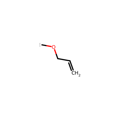 [C]OCC=C